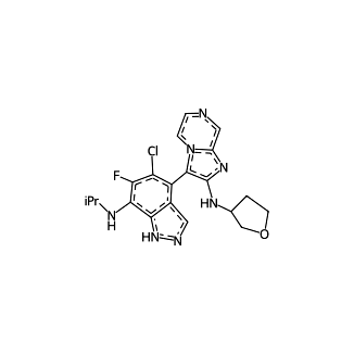 CC(C)Nc1c(F)c(Cl)c(-c2c(NC3CCOC3)nc3cnccn23)c2cn[nH]c12